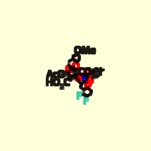 COc1ccc2c(c1)CC[C@]1(O2)O[C@@H](COC(C)=O)[C@@H](CC(=O)O)[C@H](OCc2cc3c(F)c(F)ccc3oc2=NS(=O)(=O)c2ccc(C)cc2)[C@H]1CC(=O)O